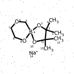 CC1(C)O[B-]2(COCCO2)OC1(C)C.[Na+]